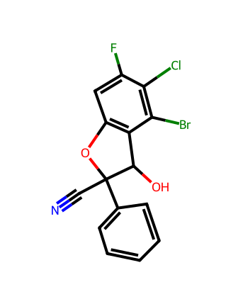 N#CC1(c2ccccc2)Oc2cc(F)c(Cl)c(Br)c2C1O